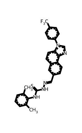 Cc1cccc(C)c1NC(=S)NN=Cc1ccc2c(ccc3c2ncn3-c2ccc(C(F)(F)F)cc2)c1